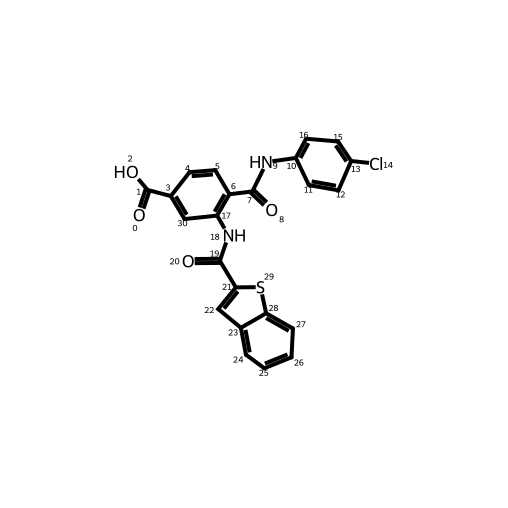 O=C(O)c1ccc(C(=O)Nc2ccc(Cl)cc2)c(NC(=O)c2cc3ccccc3s2)c1